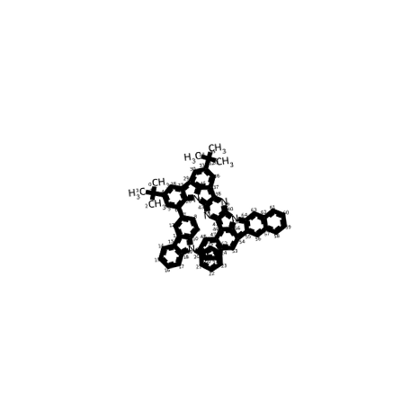 CC(C)(C)c1cc(-c2ccc3c(c2)c2ccccc2n3-c2ccccc2)c2c(c1)c1cc(C(C)(C)C)cc3c4nc5c(nc4n2c13)c1c2ccccc2cc2c3cc4ccccc4cc3n5c21